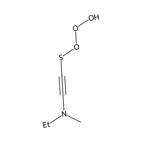 CCN(C)C#CSOOO